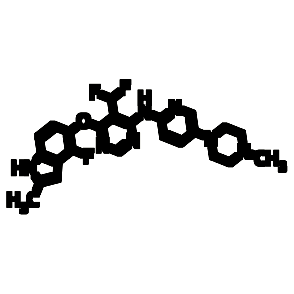 Cc1cc2c(F)c(Oc3ncnc(Nc4ccc(N5CCN(C)CC5)cn4)c3C(F)F)ccc2[nH]1